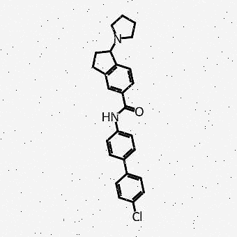 O=C(Nc1ccc(-c2ccc(Cl)cc2)cc1)c1ccc2c(c1)CCC2N1CCCC1